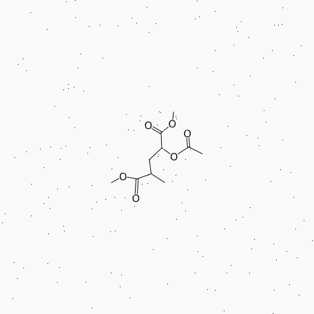 COC(=O)C(C)CC(OC(C)=O)C(=O)OC